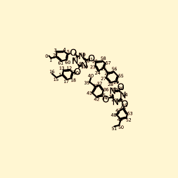 CCc1ccc(Oc2nc(Oc3ccc(CC)cc3)nc(Oc3ccc(-c4ccc(Oc5nc(Oc6ccc(CC)cc6)nc(Oc6ccc(CC)cc6)n5)cc4)cc3)n2)cc1